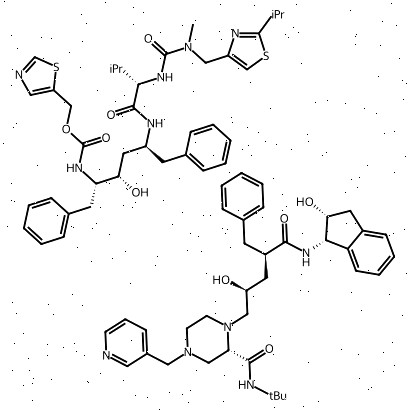 CC(C)(C)NC(=O)[C@@H]1CN(Cc2cccnc2)CCN1C[C@@H](O)C[C@@H](Cc1ccccc1)C(=O)N[C@H]1c2ccccc2C[C@H]1O.CC(C)c1nc(CN(C)C(=O)N[C@H](C(=O)N[C@@H](Cc2ccccc2)C[C@H](O)[C@H](Cc2ccccc2)NC(=O)OCc2cncs2)C(C)C)cs1